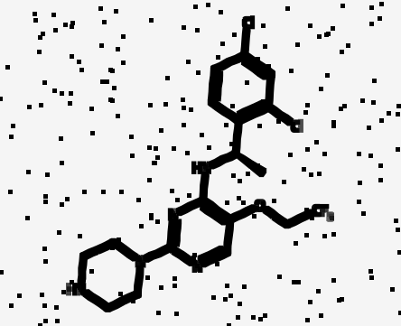 C[C@@H](Nc1nc(N2CCNCC2)ncc1OCC(F)(F)F)c1ccc(Cl)cc1Cl